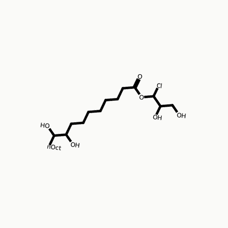 CCCCCCCCC(O)C(O)CCCCCCCC(=O)OC(Cl)C(O)CO